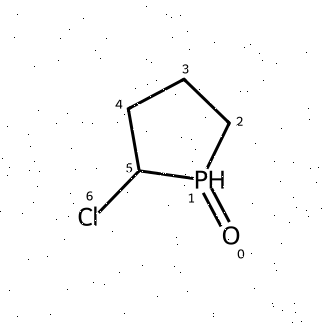 O=[PH]1CCCC1Cl